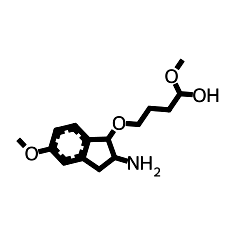 COc1ccc2c(c1)CC(N)C2OCCCC(O)OC